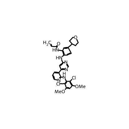 C=CC(=O)Nc1cc(C2CCOCC2)ccc1Nc1cc(-c2cccnc2Nc2c(Cl)c(OC)cc(OC)c2Cl)ncn1